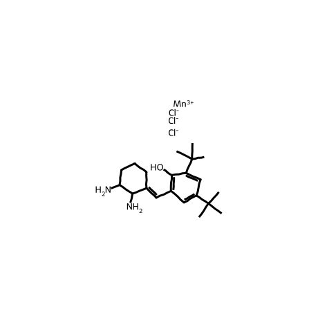 CC(C)(C)c1cc(C=C2CCCC(N)C2N)c(O)c(C(C)(C)C)c1.[Cl-].[Cl-].[Cl-].[Mn+3]